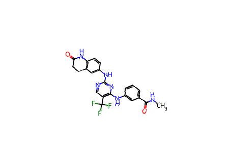 CNC(=O)c1cccc(Nc2nc(Nc3ccc4c(c3)CCC(=O)N4)ncc2C(F)(F)F)c1